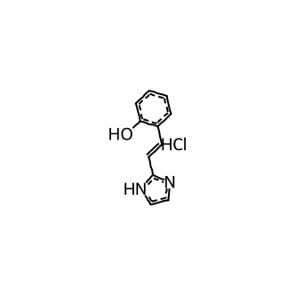 Cl.Oc1ccccc1C=Cc1ncc[nH]1